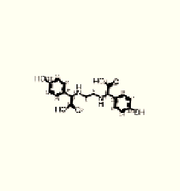 O=C(O)C(NCCNC(C(=O)O)c1ccc(O)cc1)c1ccc(O)cc1